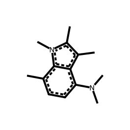 Cc1c(C)n(C)c2c(C)ccc(N(C)C)c12